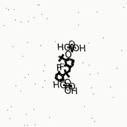 CC(C)(C)c1c(OCP(=O)(O)O)ccc(CC(C)(C)c2c(F)cccc2OP(=O)(O)O)c1F